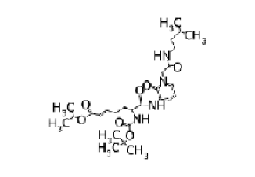 CC(C)CCNC(=O)Cn1cccc(NC(=O)[C@H](CCC=CC(=O)OC(C)C)NC(=O)OC(C)(C)C)c1=O